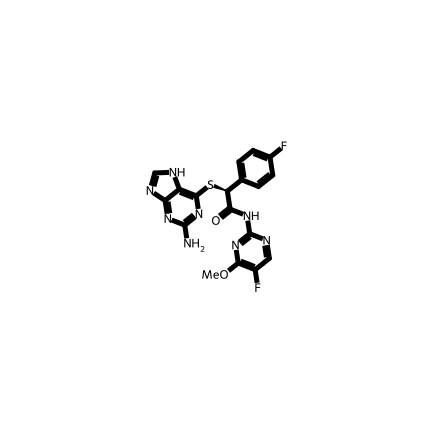 COc1nc(NC(=O)[C@@H](Sc2nc(N)nc3nc[nH]c23)c2ccc(F)cc2)ncc1F